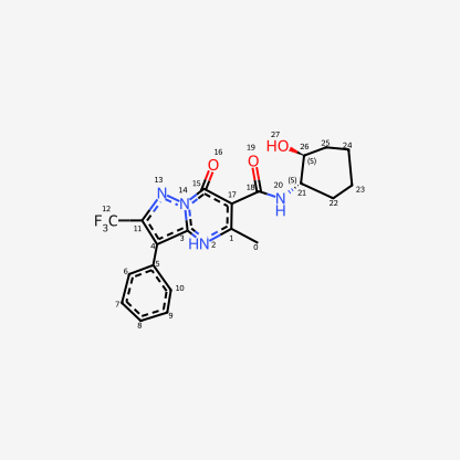 Cc1[nH]c2c(-c3ccccc3)c(C(F)(F)F)nn2c(=O)c1C(=O)N[C@H]1CCCC[C@@H]1O